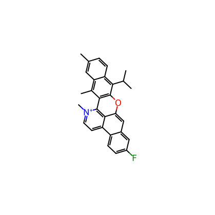 Cc1ccc2c(C(C)C)c3c(c(C)c2c1)-c1c2c(cc4cc(F)ccc4c2cc[n+]1C)O3